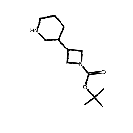 CC(C)(C)OC(=O)N1CC(C2CCCNC2)C1